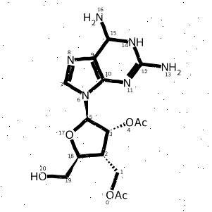 CC(=O)OC[C@H]1[C@@H](OC(C)=O)[C@H](n2cnc3c2N=C(N)NC3N)O[C@@H]1CO